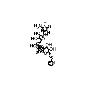 Nc1nc2c(ncn2C2OC(COP(=O)(O)OP(=O)(O)OC3OC(CSSc4ccccn4)C(O)C(O)C3O)C(O)C2O)c(=O)[nH]1